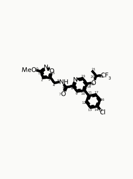 COc1cc(CNC(=O)c2cc(-c3ccc(Cl)cc3)c(OC(C)C(F)(F)F)cn2)on1